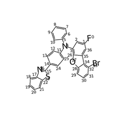 Fc1cc(N(c2ccccc2)c2ccc(-c3nc4ccccc4s3)cc2)c2oc3cccc(Br)c3c2c1